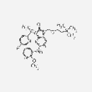 COc1ncccc1Nc1ncc2c(n1)n([C@H](C)c1ccc(F)cn1)c(=O)n2COCC[Si](C)(C)C